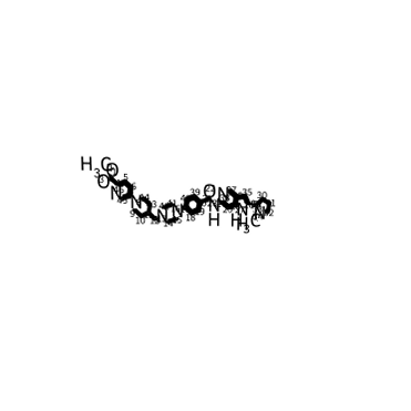 COC(=O)c1ccc(N2CCC(CN3CCN(c4ccc(C(=O)Nc5cc6[nH]c([C@H]7CCCN7C)cc6cn5)cc4)CC3)CC2)cn1